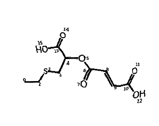 CCSCC(OC(=O)/C=C/C(=O)O)C(=O)O